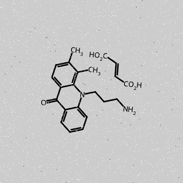 Cc1ccc2c(=O)c3ccccc3n(CCCN)c2c1C.O=C(O)C=CC(=O)O